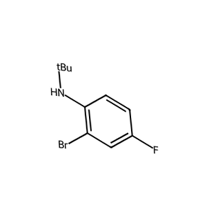 CC(C)(C)Nc1ccc(F)cc1Br